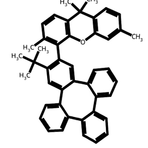 Cc1ccc2c(c1)Oc1c(ccc(C)c1-c1cc3c(cc1C(C)(C)C)-c1ccccc1-c1ccccc1-c1ccccc1-3)C2(C)C